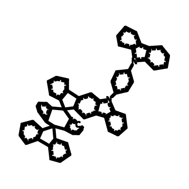 c1ccc2c(c1)-c1ccccc1C21c2ccccc2C2(c3ccccc3-c3cc4c(cc32)c2ccccc2n4-c2ccc(-n3c4ccccc4c4ccccc43)cc2)c2ccccc21